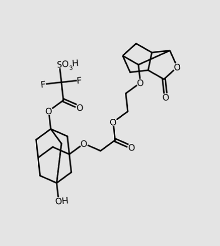 O=C(COC12CC3CC(O)(C1)CC(OC(=O)C(F)(F)S(=O)(=O)O)(C3)C2)OCCOC1C2CC3C(=O)OC1C3C2